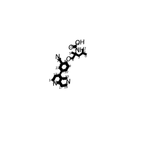 CC(C)CC(C)(COc1ccc(-c2ccnc3ccncc23)cc1C#N)NC(=O)O